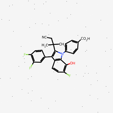 CC(C)(CC#N)c1c(-c2ccc(F)c(F)c2)c2ccc(F)c(O)c2n1-c1ccc(C(=O)O)cc1